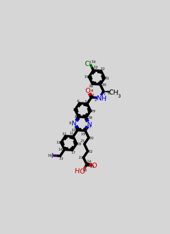 C[C@@H](NC(=O)c1ccc2nc(-c3ccc(CI)cc3)c(CCCCC(=O)O)nc2c1)c1ccc(Cl)cc1